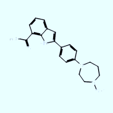 CCCCN1CCCN(c2ccc(-c3cc4cccc(C(N)=O)c4[nH]3)cc2)CC1